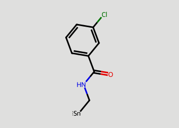 O=C(N[CH2][Sn])c1cccc(Cl)c1